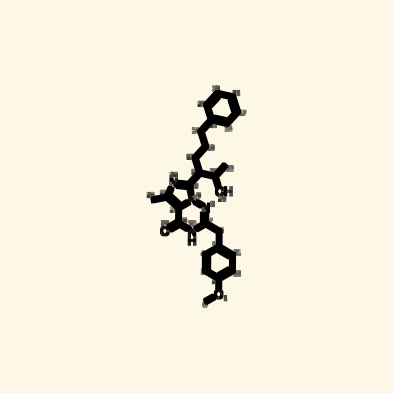 COc1ccc(Cc2nn3c(C(CCCc4ccccc4)C(C)O)nc(C)c3c(=O)[nH]2)cc1